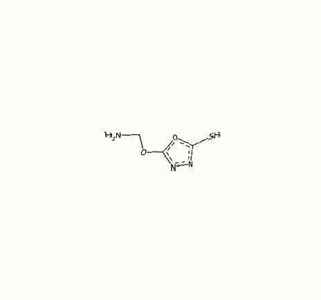 NCOc1nnc(S)o1